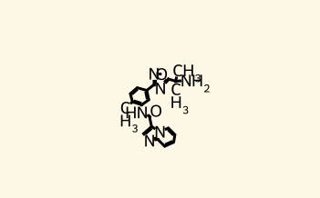 Cc1ccc(-c2noc(C(C)(C)N)n2)cc1NC(=O)c1cnc2ccccn12